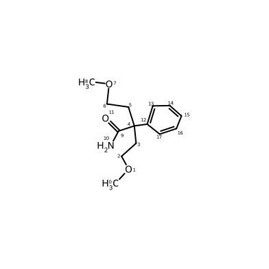 COCCC(CCOC)(C(N)=O)c1ccccc1